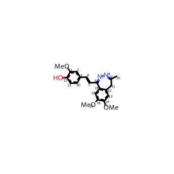 COc1cc(/C=C/C2=NN=C(C)Cc3cc(OC)c(OC)cc32)ccc1O